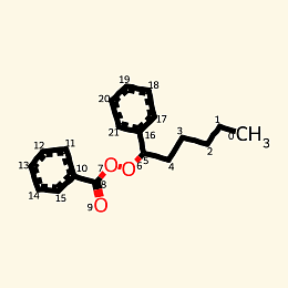 CCCCCC(OOC(=O)c1ccccc1)c1ccccc1